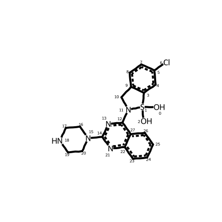 OS1(O)c2cc(Cl)ccc2CN1c1nc(N2CCNCC2)nc2ccccc12